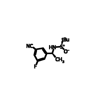 C[C@H](N[S@+]([O-])C(C)(C)C)c1cc(F)cc(C#N)c1